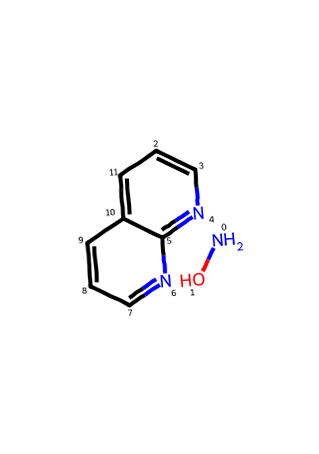 NO.c1cnc2ncccc2c1